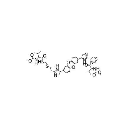 COC(=O)N[C@H](C(=O)NCSCCC1=NCC(c2ccc3c(c2)Oc2ccc(C4CN=C([C@@H]5CSCN5C(=O)[C@@H](NC(=O)OC)C(C)C)N4)cc2O3)N1)C(C)C